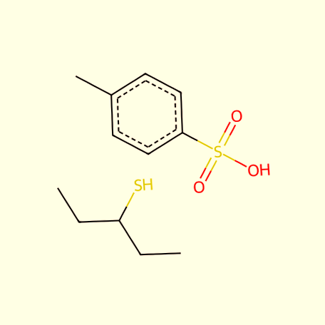 CCC(S)CC.Cc1ccc(S(=O)(=O)O)cc1